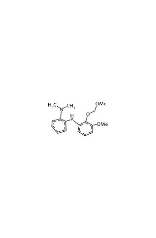 COCOc1c(OC)cccc1Pc1ccccc1N(C)C